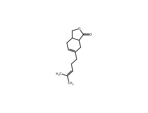 CC(C)=CCCC1=CCC2COC(=O)C2C1